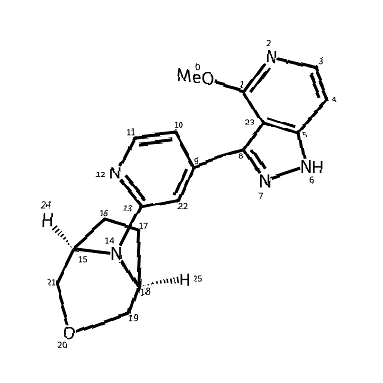 COc1nccc2[nH]nc(-c3ccnc(N4[C@@H]5CC[C@H]4COC5)c3)c12